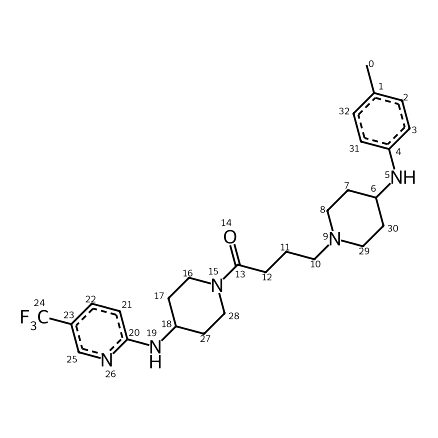 Cc1ccc(NC2CCN(CCCC(=O)N3CCC(Nc4ccc(C(F)(F)F)cn4)CC3)CC2)cc1